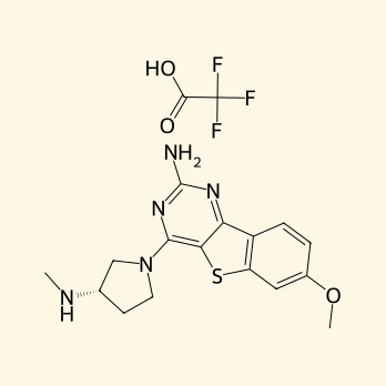 CN[C@H]1CCN(c2nc(N)nc3c2sc2cc(OC)ccc23)C1.O=C(O)C(F)(F)F